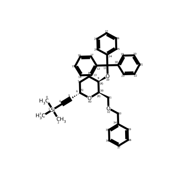 C[Si](C)(C)C#C[C@@H]1CC[C@@H](OC(c2ccccc2)(c2ccccc2)c2ccccc2)[C@@H](COCc2ccccc2)O1